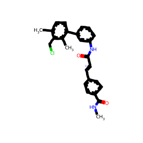 CNC(=O)c1ccc(/C=C/C(=O)Nc2cccc(-c3ccc(C)c(CCl)c3C)c2)cc1